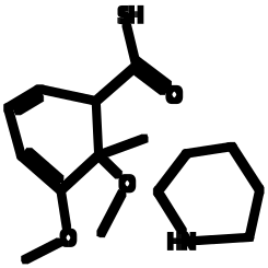 C1CCNCC1.COC1=CC=CC(C(=O)S)C1(C)OC